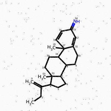 C=C(CC)C1CCC2C3CCC4=CC(=N)C=CC4(C)C3CCC12C